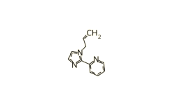 C=CCn1ccnc1-c1ccccn1